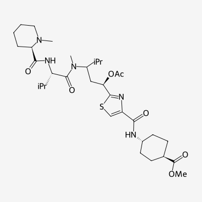 COC(=O)[C@H]1CC[C@H](NC(=O)c2csc([C@@H](CC(C(C)C)N(C)C(=O)[C@@H](NC(=O)[C@H]3CCCCN3C)C(C)C)OC(C)=O)n2)CC1